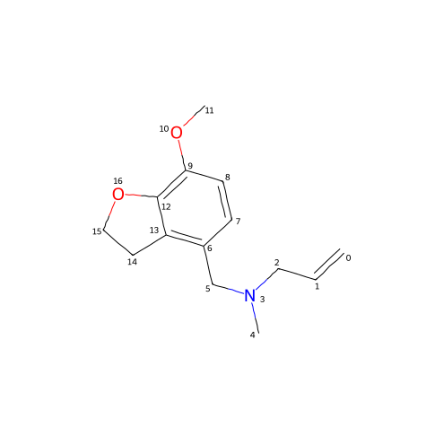 C=CCN(C)Cc1ccc(OC)c2c1CCO2